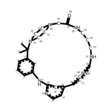 CC1(C)c2cccc(c2)Nc2cc(ccn2)-c2cnc(nc2)NCCCNC(=O)CN2CCN1CC2